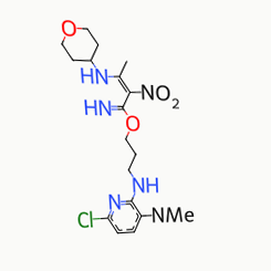 CNc1ccc(Cl)nc1NCCCOC(=N)/C(=C(/C)NC1CCOCC1)[N+](=O)[O-]